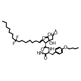 CCCCCCCC(F)(F)CCCCCC/C=C/[C@H](C(=O)N[C@@H](Cc1ccc(OCCCC)cc1)C(=O)NC)[C@@](O)(CCOC)C(=O)O